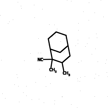 CC1CC2CCCC(C2)C1(C)C#N